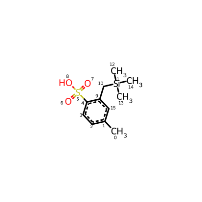 Cc1ccc(S(=O)(=O)O)c(C[Si](C)(C)C)c1